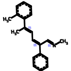 C/N=C/C(=C\C=C(/C)c1ccccc1C)c1ccccc1